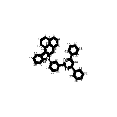 C1=Cc2cccc3cc4c(c(c23)C1)c1ccccc1n4-c1cccc(-c2nc(-c3ccccc3)cc(-c3ccccc3)n2)c1